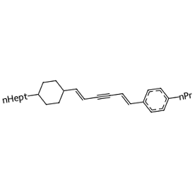 CCCCCCCC1CCC(C=CC#CC=Cc2ccc(CCC)cc2)CC1